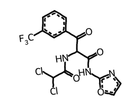 O=C(NC(C(=O)Nc1ncco1)C(=O)c1cccc(C(F)(F)F)c1)C(Cl)Cl